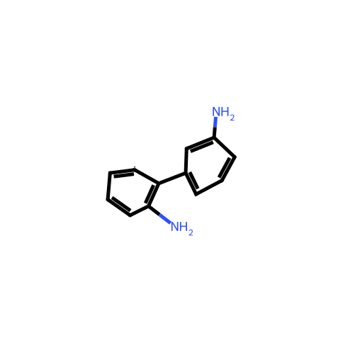 Nc1cccc(-c2[c]cccc2N)c1